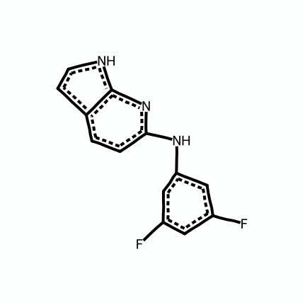 Fc1cc(F)cc(Nc2ccc3cc[nH]c3n2)c1